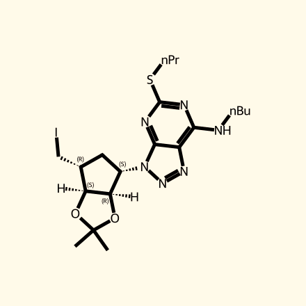 CCCCNc1nc(SCCC)nc2c1nnn2[C@H]1C[C@@H](CI)[C@@H]2OC(C)(C)O[C@@H]21